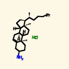 CC(C)CCC[C@@H](C)[C@H]1CC[C@H]2[C@@H]3CC=C4C[C@H](N)CC[C@]4(C)[C@H]3CC[C@]12C.Cl